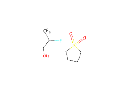 O=S1(=O)CCCC1.OCC(F)C(F)(F)F